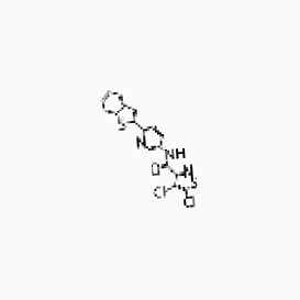 O=C(Nc1ccc(-c2cc3ccccc3s2)nc1)c1nsc(Cl)c1Cl